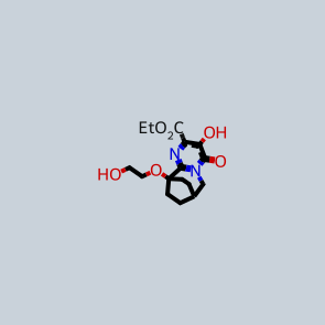 CCOC(=O)c1nc2n(c(=O)c1O)CC1CCC2(OCCO)CC1